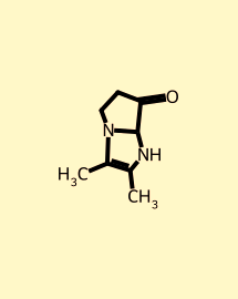 CC1=C(C)N2CCC(=O)C2N1